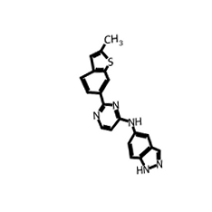 Cc1cc2ccc(-c3nccc(Nc4ccc5[nH]ncc5c4)n3)cc2s1